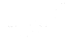 COc1cc(F)c2c(c1)CN(C(=O)OCCCBr)C2